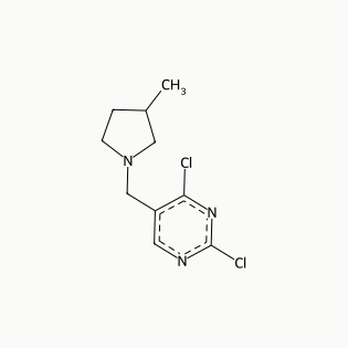 CC1CCN(Cc2cnc(Cl)nc2Cl)C1